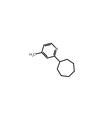 Cc1ccnc(C2CCCCCC2)c1